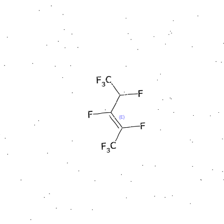 F/C(=C(/F)C(F)(F)F)C(F)C(F)(F)F